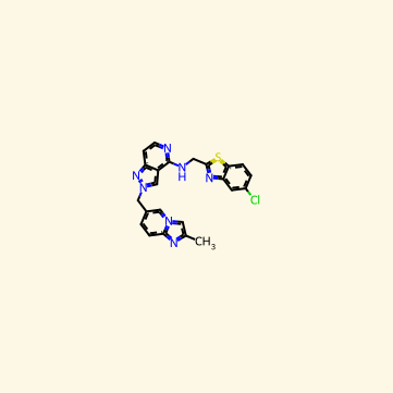 Cc1cn2cc(Cn3cc4c(NCc5nc6cc(Cl)ccc6s5)nccc4n3)ccc2n1